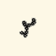 c1ccc(-n2c3ccccc3c3ccc(-c4ccc(N(c5ccc(-c6ccc7sc8ccccc8c7c6)cc5)c5ccc6ccccc6c5)cc4)cc32)cc1